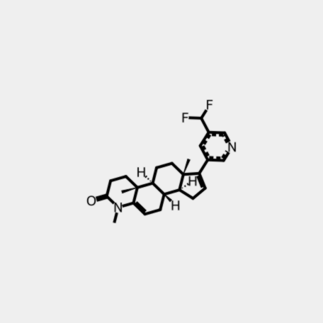 CN1C(=O)CC[C@@]2(C)C1=CC[C@@H]1[C@@H]2CC[C@]2(C)C(c3cncc(C(F)F)c3)=CC[C@@H]12